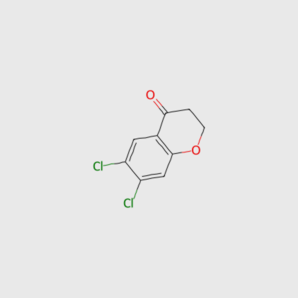 O=C1CCOc2cc(Cl)c(Cl)cc21